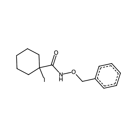 O=C(NOCc1ccccc1)C1(I)CCCCC1